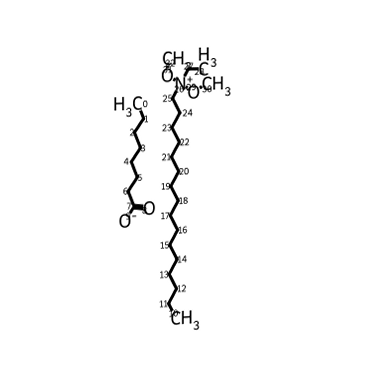 CCCCCCCC(=O)[O-].CCCCCCCCCCCCCCCC[N+](CC)(OC)OC